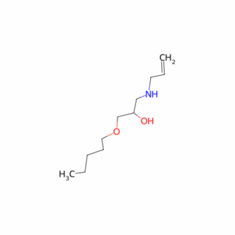 C=CCNCC(O)COCCCCC